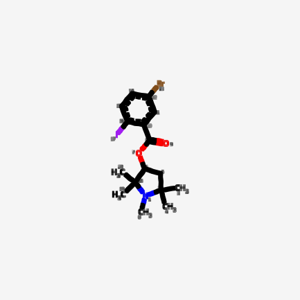 CN1C(C)(C)CC(OC(=O)c2cc(Br)ccc2I)C1(C)C